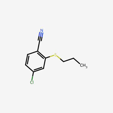 CCCSc1cc(Cl)ccc1C#N